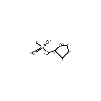 CS(=O)(=O)OC1CCCO1